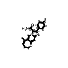 CC1=CCCOc2cc3nc(-c4ccc(F)cc4)c(C(N)=O)n3cc21